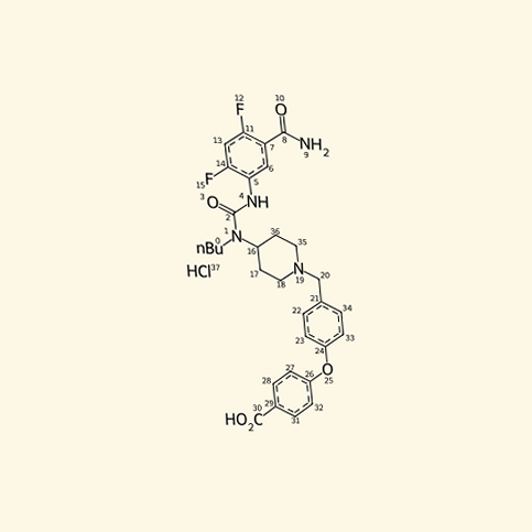 CCCCN(C(=O)Nc1cc(C(N)=O)c(F)cc1F)C1CCN(Cc2ccc(Oc3ccc(C(=O)O)cc3)cc2)CC1.Cl